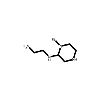 CCN1CCNCC1NCCN